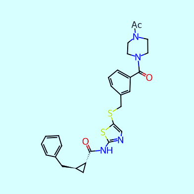 CC(=O)N1CCN(C(=O)c2cccc(CSc3cnc(NC(=O)[C@@H]4C[C@H]4Cc4ccccc4)s3)c2)CC1